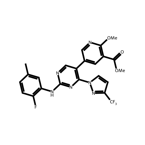 COC(=O)c1cc(-c2cnc(Nc3cc(C)ccc3F)nc2-n2ccc(C(F)(F)F)n2)cnc1OC